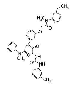 CCc1cccc(N(C)C(=O)COc2cccc(N(CC(=O)N(C)c3ccccc3)C(=O)CNC(=O)Nc3cccc(C)c3)c2)c1